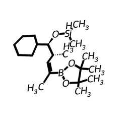 C/C(=C/[C@@H](C)[C@H](O[SiH](C)C)C1CCCCC1)B1OC(C)(C)C(C)(C)O1